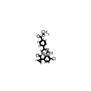 COC(=O)c1ccc(/C(CNC(=O)C2(c3ccc(Cl)cc3)CC2)=N/O)cc1